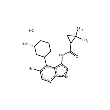 CC1(C)CC1C(=O)Nc1c[nH]c2ncc(Br)c(C3CCC[C@@H](N)C3)c12.Cl